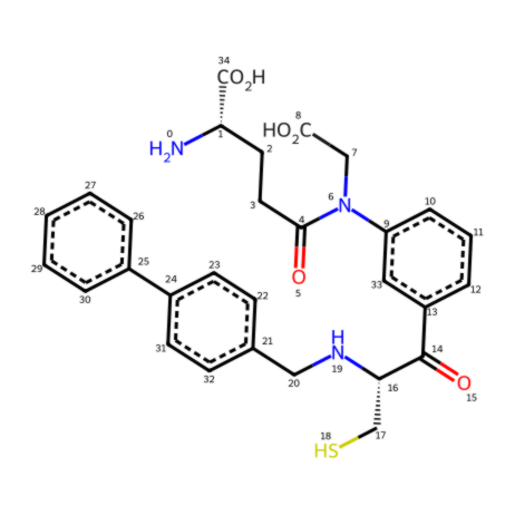 N[C@@H](CCC(=O)N(CC(=O)O)c1cccc(C(=O)[C@H](CS)NCc2ccc(-c3ccccc3)cc2)c1)C(=O)O